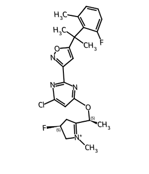 Cc1cccc(F)c1C(C)(C)c1cc(-c2nc(Cl)cc(O[C@@H](C)C3=[N+](C)C[C@@H](F)C3)n2)no1